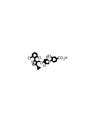 CCc1cc(C(=O)O)ccc1N1C[C@@H]2C[C@H]1C[C@H]2OCc1c(-c2c(Cl)cccc2Cl)noc1C1CC1